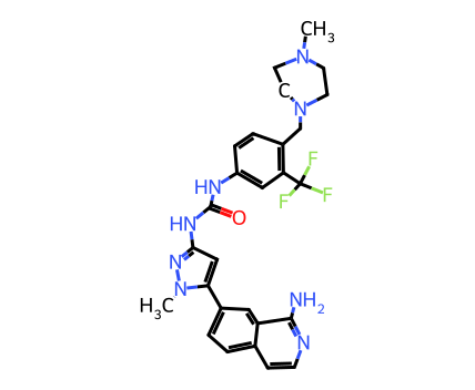 CN1CCN(Cc2ccc(NC(=O)Nc3cc(-c4ccc5ccnc(N)c5c4)n(C)n3)cc2C(F)(F)F)CC1